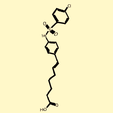 O=C(O)CCCC/C=C/c1ccc(NS(=O)(=O)c2ccc(Cl)cc2)cc1